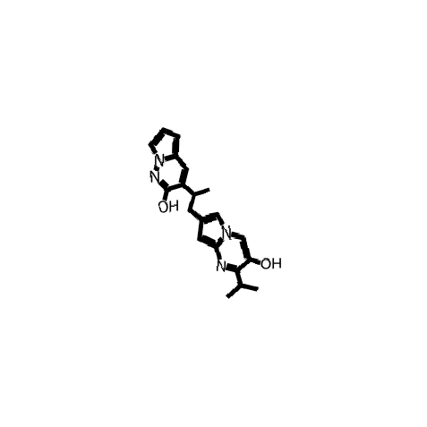 CC(C)c1nc2cc(CC(C)c3cc4cccn4nc3O)cn2cc1O